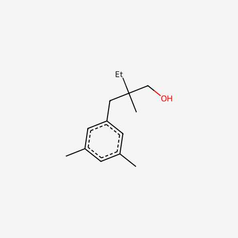 CCC(C)(CO)Cc1cc(C)cc(C)c1